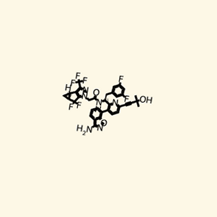 CC(C)(O)C#Cc1ccc(-c2cccc3c(N)noc23)c([C@H](Cc2cc(F)cc(F)c2)NC(=O)Cn2nc(C(F)(F)F)c3c2C(F)(F)C2C[C@H]32)n1